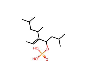 CC=C(C(C)CC(C)C)C(CC(C)C)OP(=O)(O)O